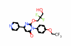 O=c1cc(-c2ccncc2)nc(OCC(F)(F)CO)n1-c1ccc(OCC(F)(F)F)cc1